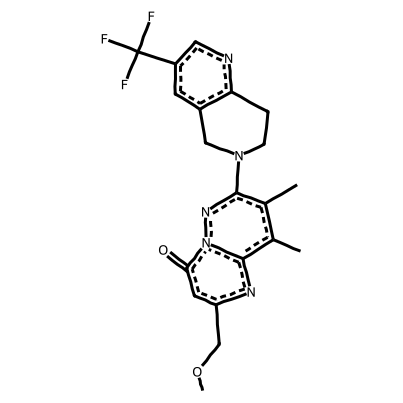 COCc1cc(=O)n2nc(N3CCc4ncc(C(F)(F)F)cc4C3)c(C)c(C)c2n1